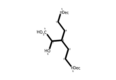 CCCCCCCCCCCCC(CCCCCCCCCCCC)C(O)C(=O)O